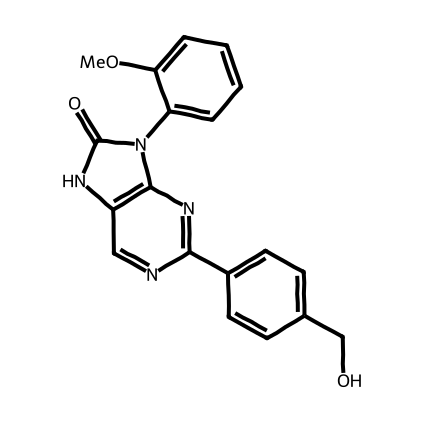 COc1ccccc1-n1c(=O)[nH]c2cnc(-c3ccc(CO)cc3)nc21